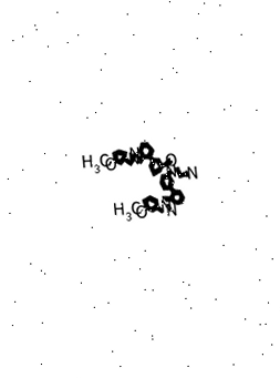 COc1cccc(Cn2cc3c(-c4cccc(C(=O)N(CCC#N)c5cccc(-c6cccc7nn(Cc8cccc(OC)c8)cc67)c5)c4)cccc3n2)c1